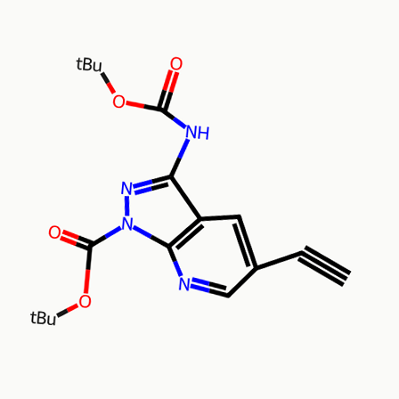 C#Cc1cnc2c(c1)c(NC(=O)OC(C)(C)C)nn2C(=O)OC(C)(C)C